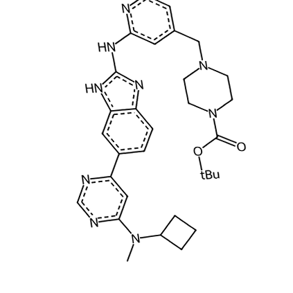 CN(c1cc(-c2ccc3nc(Nc4cc(CN5CCN(C(=O)OC(C)(C)C)CC5)ccn4)[nH]c3c2)ncn1)C1CCC1